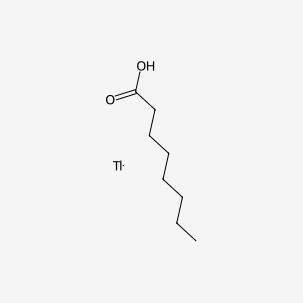 CCCCCCCC(=O)O.[Tl]